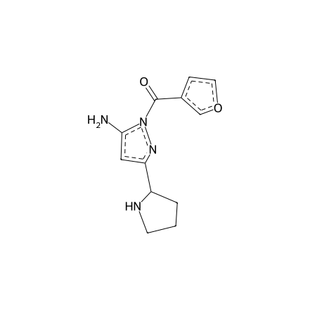 Nc1cc(C2CCCN2)nn1C(=O)c1ccoc1